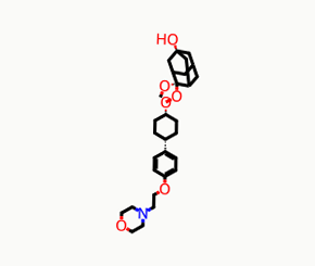 CO[C@]1(OO[C@H]2CC[C@@H](c3ccc(OCCN4CCOCC4)cc3)CC2)C2CC3CC1C[C@@](O)(C3)C2